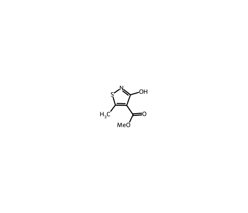 COC(=O)c1c(O)nsc1C